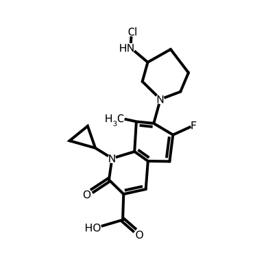 Cc1c(N2CCCC(NCl)C2)c(F)cc2cc(C(=O)O)c(=O)n(C3CC3)c12